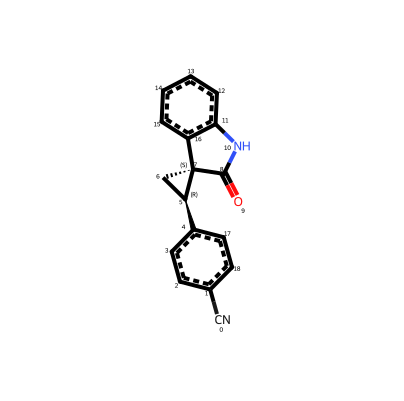 N#Cc1ccc([C@H]2C[C@]23C(=O)Nc2ccccc23)cc1